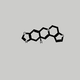 C1=C2CN3CCc4sccc4C3=C[C@@H]2Cc2ncoc21